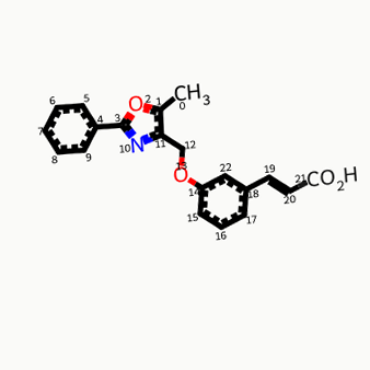 Cc1oc(-c2ccccc2)nc1COc1cccc(C=CC(=O)O)c1